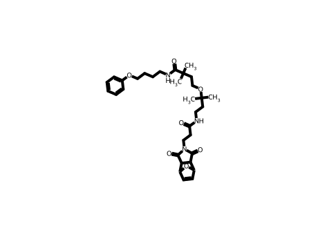 CC(C)(CCNC(=O)CCN1C(=O)C2C3C=CC(O3)C2C1=O)OCCC(C)(C)C(=O)NCCCCOc1ccccc1